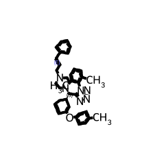 Cc1ccc(OC2=CC([C@@H](c3nnnn3-c3c(C)cccc3C)N3CCN(C/C=C/c4ccccc4)CC3)CC=C2)cc1